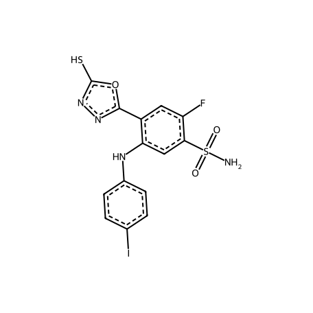 NS(=O)(=O)c1cc(Nc2ccc(I)cc2)c(-c2nnc(S)o2)cc1F